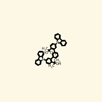 CC(C)(O)c1ccc(-n2c3ccccc3c3ccccc32)cc1-c1cccc(-c2cc(-n3c4ccccc4c4ccccc43)ccc2C(C)(C)O)c1